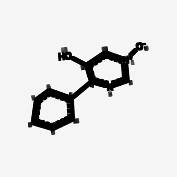 [O-][n+]1cnc(-c2ccccc2)c(O)c1